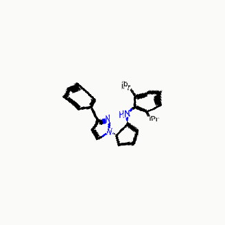 CC(C)c1cccc(C(C)C)c1N[C@H]1CCC[C@@H]1n1ccc(-c2ccccc2)n1